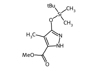 COC(=O)c1[nH]nc(O[Si](C)(C)C(C)(C)C)c1C